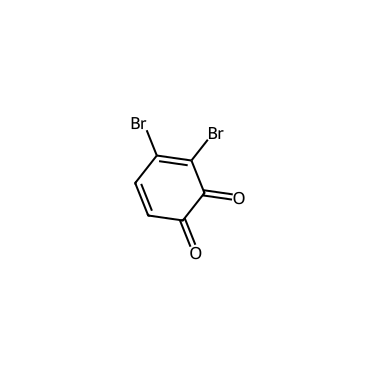 O=C1C=CC(Br)=C(Br)C1=O